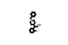 O/N=C(/c1ccccc1F)C1CCN(Cc2ccccc2)CC1